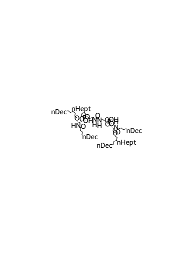 CCCCCCCCCCCCCC(=O)N[C@H](COCC[C@H](CCCCCCC)CCCCCCCCCCCC)COP(=O)(O)OCCNC(=O)NCCOP(=O)(O)OC[C@@H](COCC[C@H](CCCCCCC)CCCCCCCCCCCC)NC(=O)CCCCCCCCCCCCC